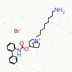 NCCCCCCCCC[N@+]12CCC(C1)C(OC(=O)Nc1ccccc1-c1ccccc1)CC2.[Br-]